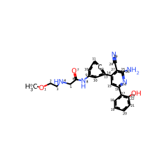 COCCNCC(=O)Nc1cccc(-c2cc(-c3ccccc3O)nc(N)c2C#N)c1